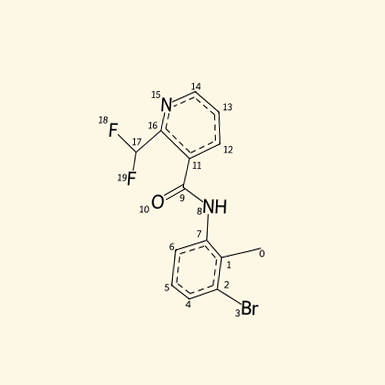 Cc1c(Br)cccc1NC(=O)c1cccnc1C(F)F